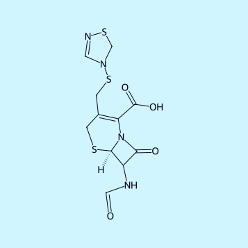 O=CNC1C(=O)N2C(C(=O)O)=C(CSN3C=NSC3)CS[C@H]12